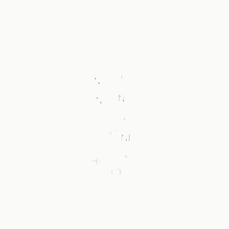 CC(C)C[C@@H](CO)NC(=O)Oc1cnc(N2CCCC2)c(OCC2CCC2)n1